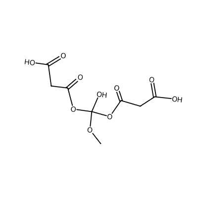 COC(O)(OC(=O)CC(=O)O)OC(=O)CC(=O)O